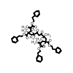 C=C(CC(C)(CC(C)(C)C(=O)CC(=O)C(C)(C)CC(C)(CC(=C)C(=O)OCCc1ccccc1)C(=O)OCCc1ccccc1)C(=O)OCCc1ccccc1)C(=O)OCCc1ccccc1